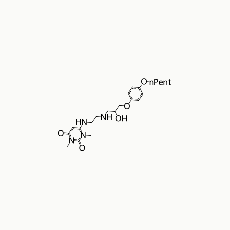 CCCCCOc1ccc(OCC(O)CNCCNc2cc(=O)n(C)c(=O)n2C)cc1